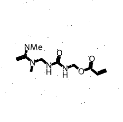 C=CC(=O)OCNC(=O)NCN(C)C(=C)NC